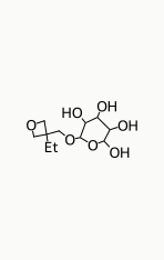 CCC1(COC2OC(O)C(O)C(O)C2O)COC1